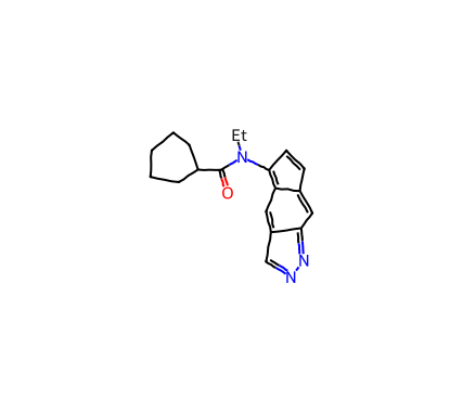 CCN(C(=O)C1CCCCC1)C1=c2cc3c(cc2C=C1)=NN=C3